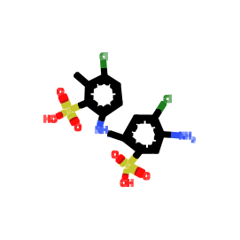 Cc1c(Cl)ccc(N)c1S(=O)(=O)O.Cc1cc(Cl)c(N)cc1S(=O)(=O)O